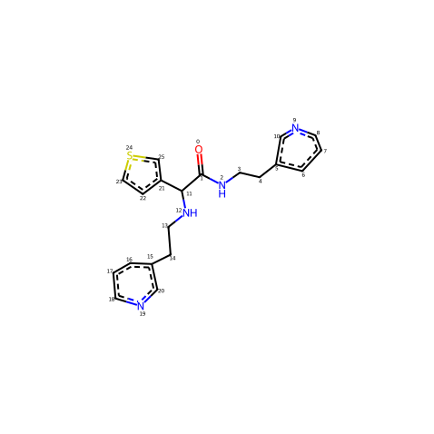 O=C(NCCc1cccnc1)C(NCCc1cccnc1)c1ccsc1